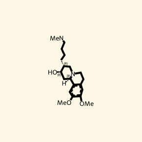 CNCCCC[C@@H]1CN2CCc3cc(OC)c(OC)cc3[C@H]2C[C@H]1O